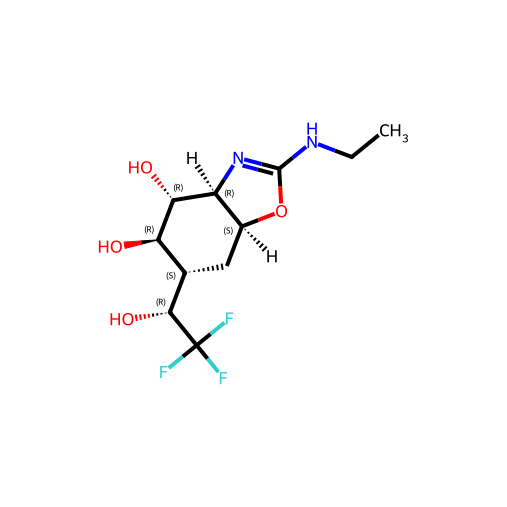 CCNC1=N[C@@H]2[C@@H](O)[C@H](O)[C@@H]([C@@H](O)C(F)(F)F)C[C@@H]2O1